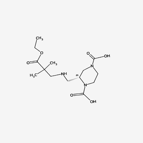 CCOC(=O)C(C)(C)CNC[C@@H]1CN(C(=O)O)CCN1C(=O)O